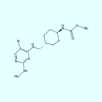 CCCCNc1ncc(Br)c(NC[C@H]2CC[C@H](NC(=O)OC(C)(C)C)CC2)n1